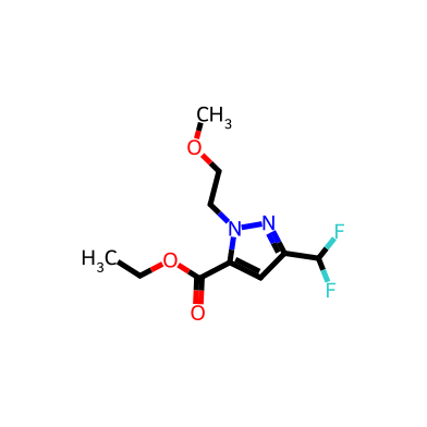 CCOC(=O)c1cc(C(F)F)nn1CCOC